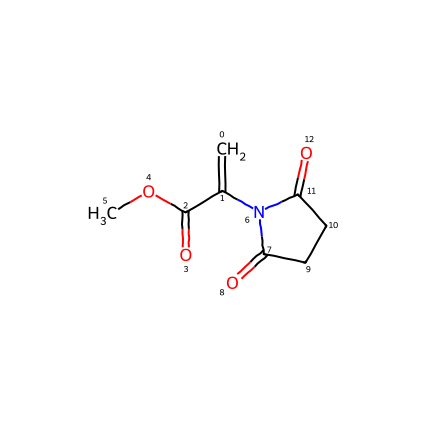 C=C(C(=O)OC)N1C(=O)CCC1=O